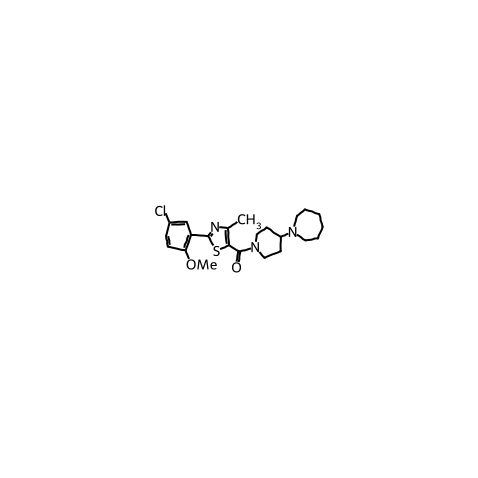 COc1ccc(Cl)cc1-c1nc(C)c(C(=O)N2CCC(N3CCCCCC3)CC2)s1